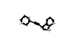 C(#Cc1c[nH]c2ncccc12)c1cccnc1